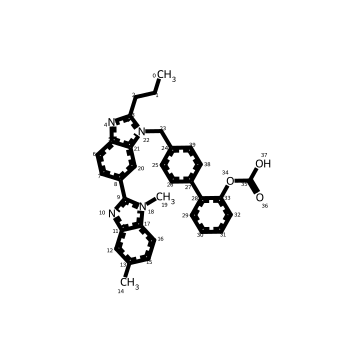 CCCc1nc2ccc(-c3nc4cc(C)ccc4n3C)cc2n1Cc1ccc(-c2ccccc2OC(=O)O)cc1